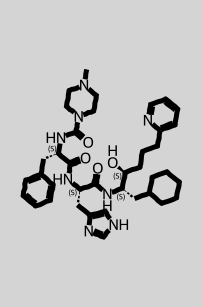 CN1CCN(C(=O)N[C@@H](Cc2ccccc2)C(=O)N[C@@H](Cc2c[nH]cn2)C(=O)N[C@@H](CC2CCCCC2)[C@@H](O)CCCc2ccccn2)CC1